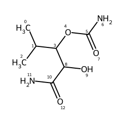 CC(C)C(OC(N)=O)C(O)C(N)=O